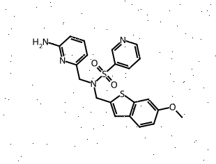 COc1ccc2cc(CN(Cc3cccc(N)n3)S(=O)(=O)c3cccnc3)sc2c1